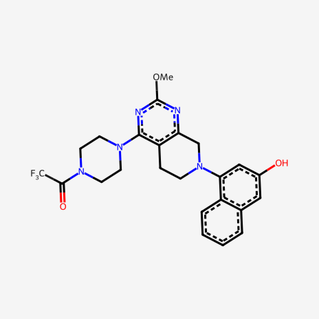 COc1nc2c(c(N3CCN(C(=O)C(F)(F)F)CC3)n1)CCN(c1cc(O)cc3ccccc13)C2